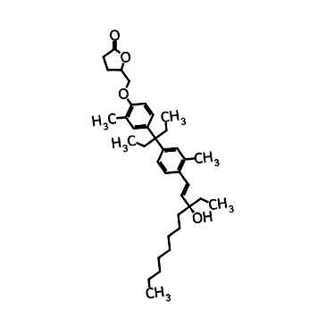 CCCCCCCC[C@](O)(/C=C/c1ccc(C(CC)(CC)c2ccc(OCC3CCC(=O)O3)c(C)c2)cc1C)CC